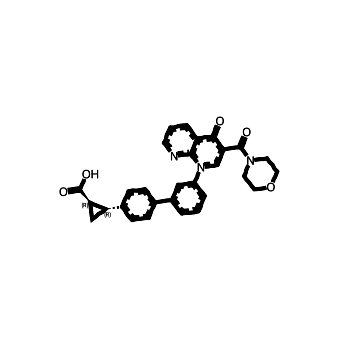 O=C(O)[C@@H]1C[C@H]1c1ccc(-c2cccc(-n3cc(C(=O)N4CCOCC4)c(=O)c4cccnc43)c2)cc1